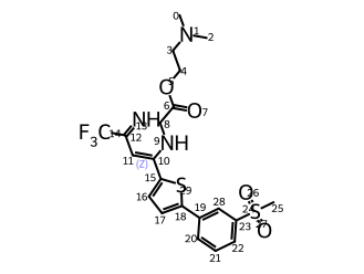 CN(C)CCOC(=O)CN/C(=C\C(=N)C(F)(F)F)c1ccc(-c2cccc(S(C)(=O)=O)c2)s1